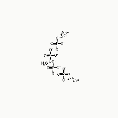 O.O=P([O-])([O-])[O-].O=P([O-])([O-])[O-].O=P([O-])([O-])[O-].O=P([O-])([O-])[O-].[Mo+6].[Zn+2].[Zn+2].[Zn+2]